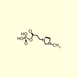 CN1C=CN(CCC(=O)OP(=O)(O)O)C1